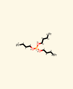 CC(C)CCCOP(OCCCC(C)C)OCCCC(C)C